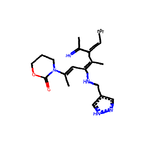 CCC/C=C(C(C)=N)/C(C)=C(\C=C(/C)N1CCCOC1=O)NCc1cn[nH]c1